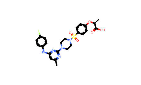 Cc1cc(Nc2ccc(F)cc2)nc(N2CCN(S(=O)(=O)c3ccc(O[C@@H](C)C(=O)O)cc3)CC2)n1